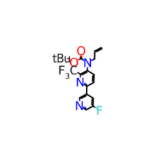 C=CCN(C(=O)OC(C)(C)C)c1ccc(-c2cncc(F)c2)nc1C(F)(F)F